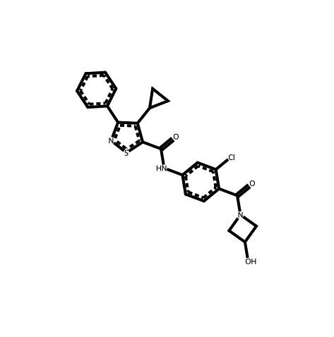 O=C(Nc1ccc(C(=O)N2CC(O)C2)c(Cl)c1)c1snc(-c2ccccc2)c1C1CC1